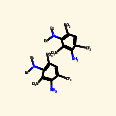 CCN(CC)c1c([N+](=O)[O-])cc(C(F)(F)F)c(N)c1[N+](=O)[O-].CCN(CC)c1c([N+](=O)[O-])cc(C(F)(F)F)c(N)c1[N+](=O)[O-]